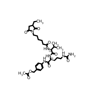 CCC1CC(=O)N(CCCCCC(=O)N[C@H](C(=O)N[C@@H](CCCNC(N)=O)C(=O)Nc2ccc(COC(C)=O)cc2)C(C)C)C1=O